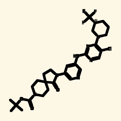 CC(C)(C)OC(=O)N1CCC2(CC1)CCN(c1cncc(Nc3ncc(Cl)c(N4CCC[C@H](C(F)(F)F)C4)n3)c1)C2=O